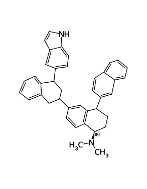 CN(C)[C@@H]1CCC(c2ccc3ccccc3c2)c2cc(C3Cc4ccccc4C(c4ccc5[nH]ccc5c4)C3)ccc21